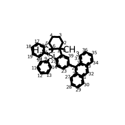 CC12CCCCC1(C)[Si](c1ccccc1)(c1ccccc1)c1ccc(-c3c4ccccc4cc4ccccc34)cc12